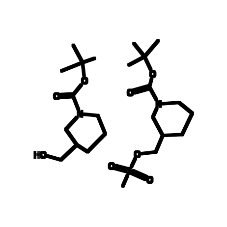 CC(C)(C)OC(=O)N1CCCC(CO)C1.CC(C)(C)OC(=O)N1CCCC(COS(C)(=O)=O)C1